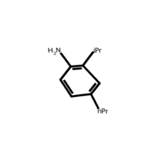 CCCc1ccc(N)c(C(C)C)c1